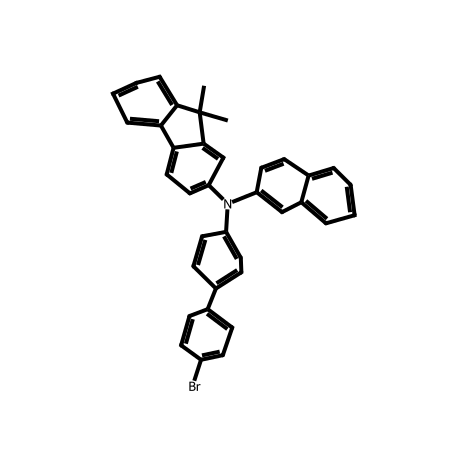 CC1(C)c2ccccc2-c2ccc(N(c3ccc(-c4ccc(Br)cc4)cc3)c3ccc4ccccc4c3)cc21